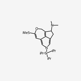 CSC1=CC2=CN([Si](C(C)C)(C(C)C)C(C)C)C=C3CC(N(C)C)C(=C23)CO1